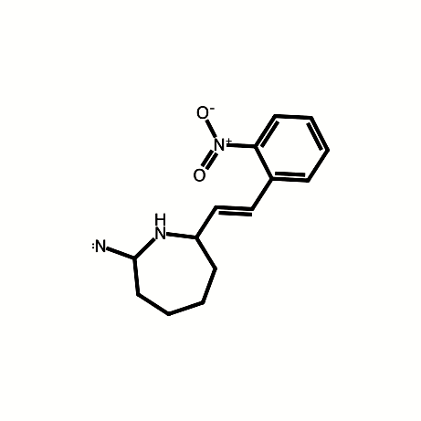 [N]C1CCCCC(C=Cc2ccccc2[N+](=O)[O-])N1